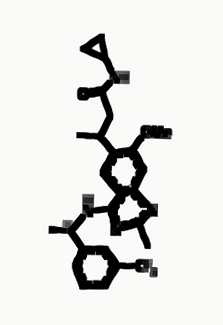 COc1cc2nc(C)nc(N[C@H](C)c3cccc(C(F)(F)F)c3)c2cc1C(C)CC(=O)NC1CC1